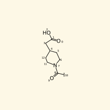 O=C(O)CC1CCN(C(=O)I)CC1